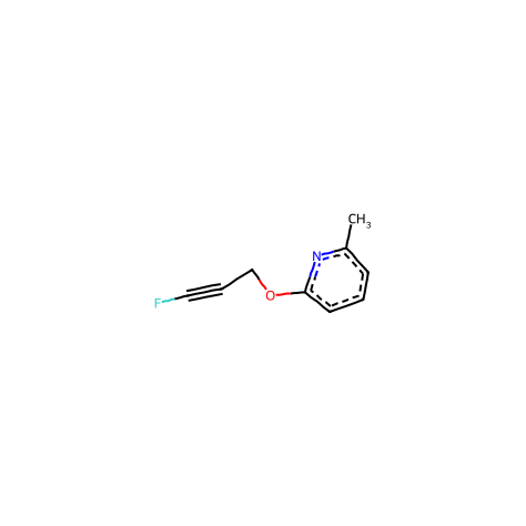 Cc1cccc(OCC#CF)n1